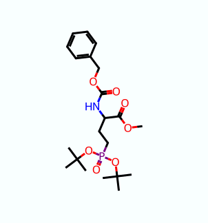 COC(=O)C(CCP(=O)(OC(C)(C)C)OC(C)(C)C)NC(=O)OCc1ccccc1